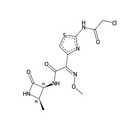 CON=C(C(=O)N[C@@H]1C(=O)N[C@@H]1C)c1csc(NC(=O)CCl)n1